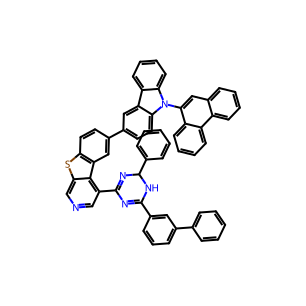 c1ccc(-c2cccc(C3=NC(c4cncc5sc6ccc(-c7ccc8c(c7)c7ccccc7n8-c7cc8ccccc8c8ccccc78)cc6c45)=NC(c4ccccc4)N3)c2)cc1